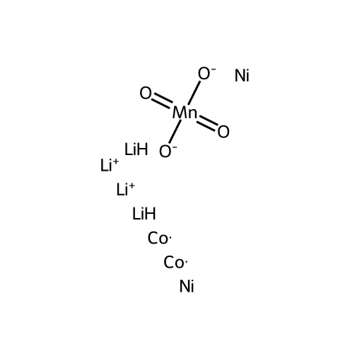 [Co].[Co].[Li+].[Li+].[LiH].[LiH].[Ni].[Ni].[O]=[Mn](=[O])([O-])[O-]